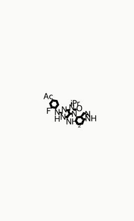 CC(=O)c1ccc(Nc2nc(N)c3c(n2)n(C(C)C)c(=O)n3-c2cccc3[nH]ncc23)c(F)c1